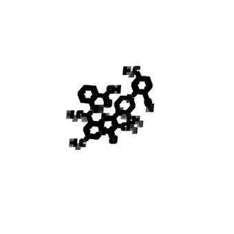 Cc1ccc(C#N)c(N2CCN(c3nc4c([C@@H](C)Nc5ccccc5C(=O)O)cc(C)cn4c(=O)c3C)[C@H](C)C2)c1